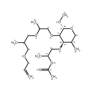 C=CCOCC(C)COC(C)COC1[C@H](OC)OCC(C)[C@H]1OCC(C)OC(C)=O